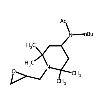 CCCCN(C(C)=O)C1CC(C)(C)N(CC2CO2)C(C)(C)C1